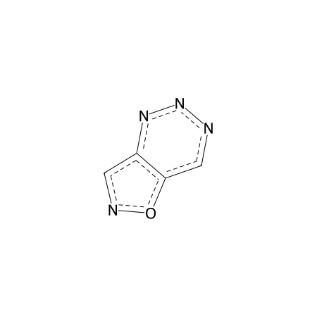 c1noc2cnnnc12